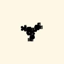 CN(C)C(=S)Oc1cccc2c1CCC(N1CCCC1)C2N(C)C(=O)Cc1ccc(Cl)c(Cl)c1.Cl